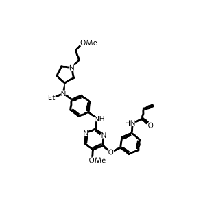 C=CC(=O)Nc1cccc(Oc2nc(Nc3ccc(N(CC)[C@H]4CCN(CCOC)C4)cc3)ncc2OC)c1